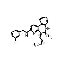 C=C1Nc2cnccc2-c2cnc(NCc3cccc(F)c3)nc2/C1=C/C=C\C